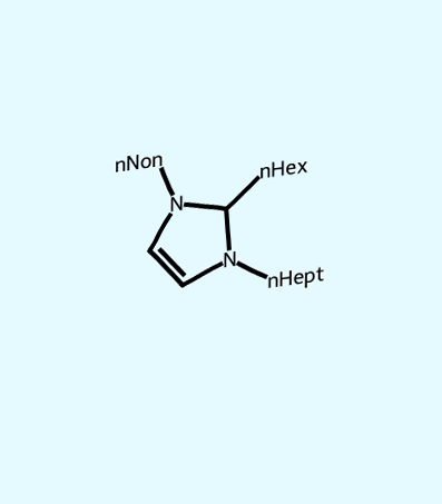 CCCCCCCCCN1C=CN(CCCCCCC)C1CCCCCC